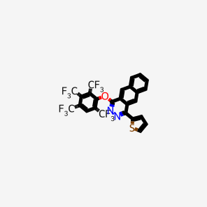 FC(F)(F)c1cc(C(F)(F)F)c(C(F)(F)F)c(C(F)(F)F)c1Oc1nnc(-c2cccs2)c2cc3ccccc3cc12